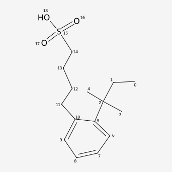 CCC(C)(C)c1ccccc1CCCCS(=O)(=O)O